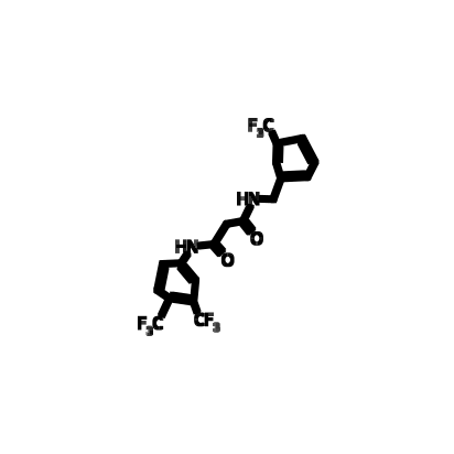 O=C(CC(=O)Nc1ccc(C(F)(F)F)c(C(F)(F)F)c1)NCc1cccc(C(F)(F)F)c1